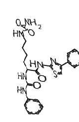 NS(=O)(=O)NCCCC[C@H](NC(=O)Nc1ccccc1)C(=O)Nc1nc(-c2ccccc2)cs1